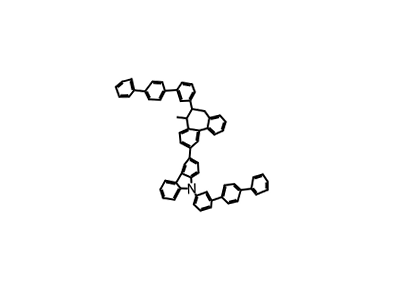 CC1c2ccc(-c3ccc4c(c3)c3ccccc3n4-c3cccc(-c4ccc(-c5ccccc5)cc4)c3)cc2-c2ccccc2CC1c1cccc(-c2ccc(-c3ccccc3)cc2)c1